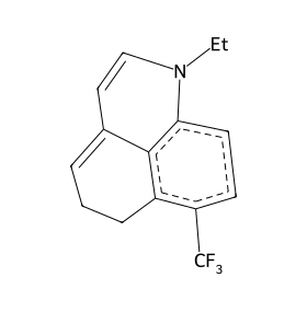 CCN1C=CC2=CCCc3c(C(F)(F)F)ccc1c32